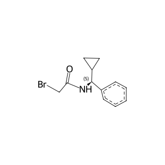 O=C(CBr)N[C@H](c1ccccc1)C1CC1